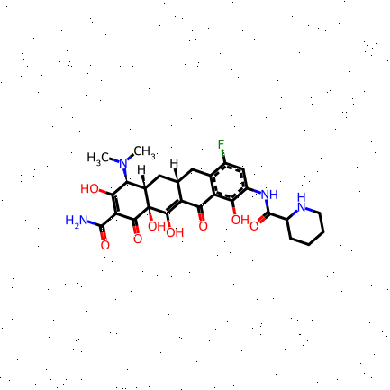 CN(C)[C@@H]1C(O)=C(C(N)=O)C(=O)[C@@]2(O)C(O)=C3C(=O)c4c(O)c(NC(=O)C5CCCCN5)cc(F)c4C[C@H]3C[C@@H]12